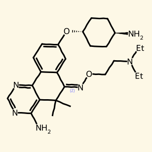 CCN(CC)CCO/N=C1\c2cc(O[C@H]3CC[C@H](N)CC3)ccc2-c2ncnc(N)c2C1(C)C